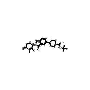 CC(C)(C)OC(=O)N1CC=C(c2ccc3c(c2)C(=O)N(C2CCC(=O)NC2=O)C3)CC1